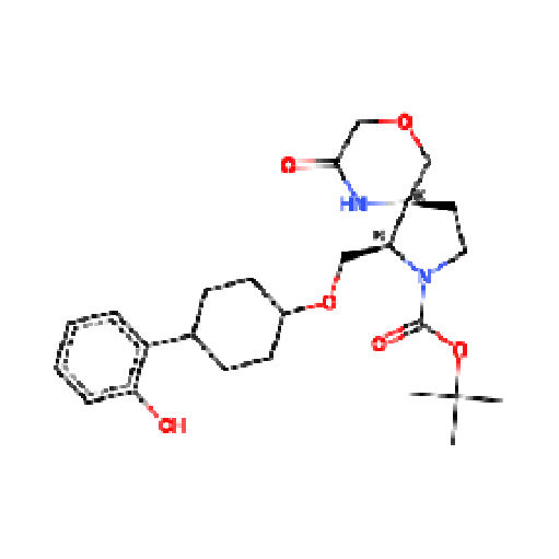 CC(C)(C)OC(=O)N1CC[C@@]2(COCC(=O)N2)[C@@H]1COC1CCC(c2ccccc2O)CC1